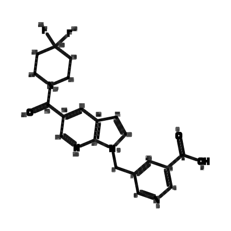 O=C(O)c1cncc(Cn2ccc3cc(C(=O)N4CCC(F)(F)CC4)cnc32)c1